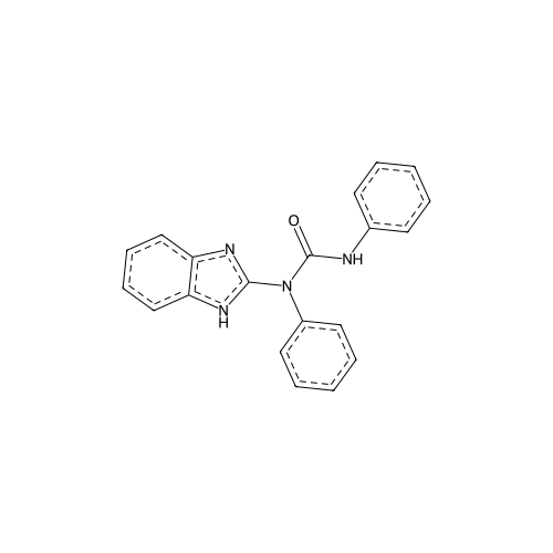 O=C(Nc1ccccc1)N(c1ccccc1)c1nc2ccccc2[nH]1